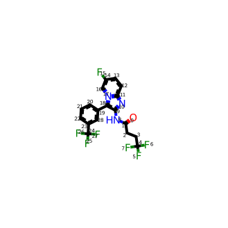 O=C(CCC(F)(F)F)Nc1nc2ccc(F)cn2c1-c1cccc(C(F)(F)F)c1